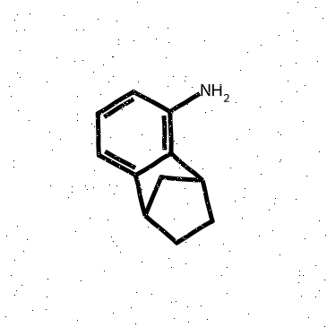 Nc1cccc2c1C1CCC2C1